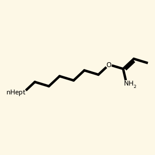 CC=C(N)OCCCCCCCCCCCCC